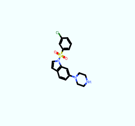 O=S(=O)(c1cccc(Cl)c1)n1ccc2ccc(N3CCNCC3)cc21